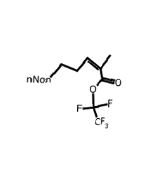 CCCCCCCCCCCC=C(C)C(=O)OC(F)(F)C(F)(F)F